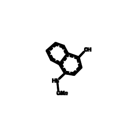 CONc1ccc(O)c2ccccc12